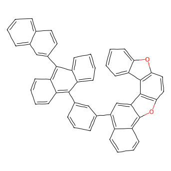 c1cc(-c2c3ccccc3c(-c3ccc4ccccc4c3)c3ccccc23)cc(-c2cc3c(oc4ccc5oc6ccccc6c5c43)c3ccccc23)c1